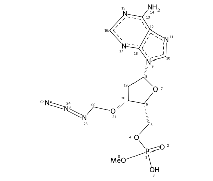 COP(=O)(O)OC[C@H]1O[C@@H](n2cnc3c(N)ncnc32)C[C@H]1OCN=[N+]=[N-]